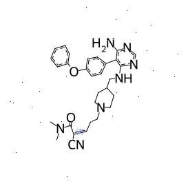 CN(C)C(=O)/C(C#N)=C\CCN1CCC(CNc2ncnc(N)c2-c2ccc(Oc3ccccc3)cc2)CC1